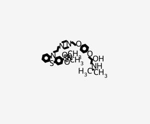 CC(C)NC[C@H](O)COc1ccc(OCCN2CCN(CCCN3c4ccccc4Sc4ccc(S(=O)(=O)N(C)C)cc43)CC2)cc1